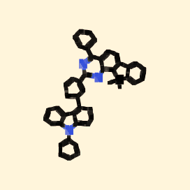 C[Si]1(C)c2ccccc2-c2ccc3c(-c4ccccc4)nc(-c4cccc(-c5cccc6c5c5ccccc5n6-c5ccccc5)c4)nc3c21